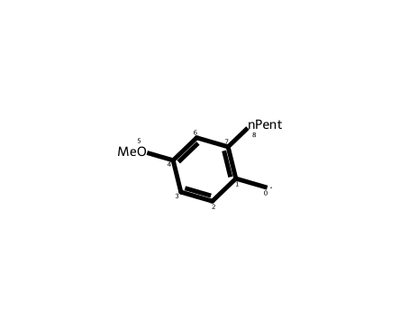 [CH2]c1ccc(OC)cc1CCC[CH]C